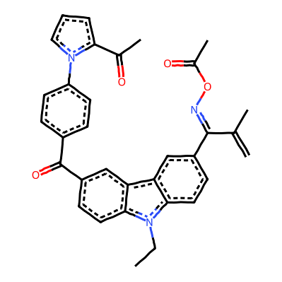 C=C(C)C(=NOC(C)=O)c1ccc2c(c1)c1cc(C(=O)c3ccc(-n4cccc4C(C)=O)cc3)ccc1n2CC